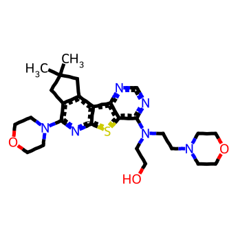 CC1(C)Cc2c(N3CCOCC3)nc3sc4c(N(CCO)CCN5CCOCC5)ncnc4c3c2C1